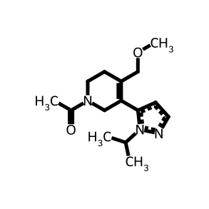 COCC1=C(c2ccnn2C(C)C)CN(C(C)=O)CC1